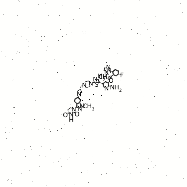 Cc1nc(N2CCN(CC3CN(c4ccc5c(N6CCC(=O)NC6=O)nn(C)c5c4)C3)CC2)sc1-c1cnc(N)c(O[C@@H](C)c2cc(F)ccc2-n2nccn2)c1